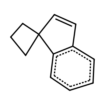 C1=CC2(CCC2)c2ccccc21